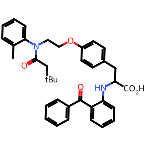 Cc1ccccc1N(CCOc1ccc(CC(Nc2ccccc2C(=O)c2ccccc2)C(=O)O)cc1)C(=O)CC(C)(C)C